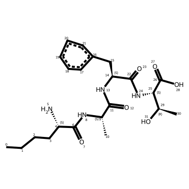 CCCC[C@H](N)C(=O)N[C@@H](C)C(=O)N[C@@H](Cc1ccccc1)C(=O)N[C@H](C(=O)O)[C@@H](C)O